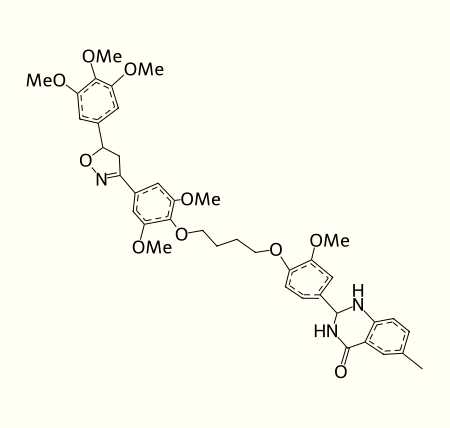 COc1cc(C2NC(=O)c3cc(C)ccc3N2)ccc1OCCCCOc1c(OC)cc(C2=NOC(c3cc(OC)c(OC)c(OC)c3)C2)cc1OC